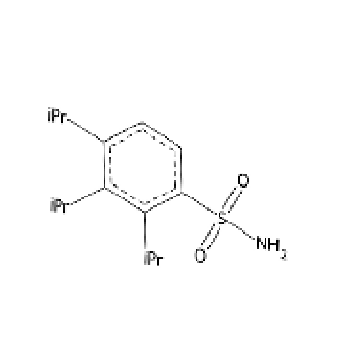 CC(C)c1ccc(S(N)(=O)=O)c(C(C)C)c1C(C)C